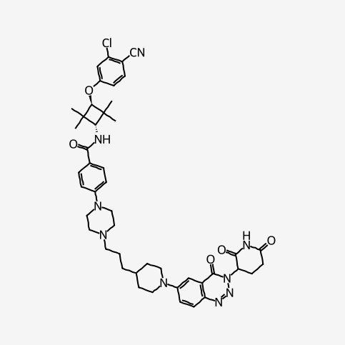 CC1(C)[C@H](NC(=O)c2ccc(N3CCN(CCCC4CCN(c5ccc6nnn(C7CCC(=O)NC7=O)c(=O)c6c5)CC4)CC3)cc2)C(C)(C)[C@H]1Oc1ccc(C#N)c(Cl)c1